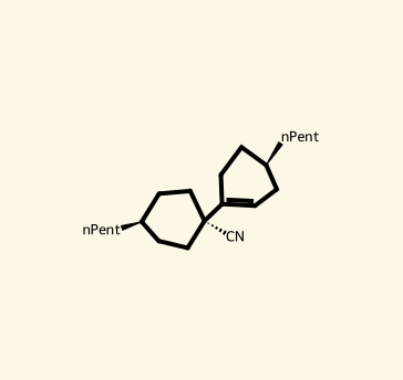 CCCCC[C@H]1CC=C([C@]2(C#N)CC[C@H](CCCCC)CC2)CC1